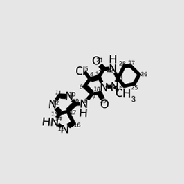 CN1n2c(c(Cl)cc(Nc3ncnc4[nH]ncc34)c2=O)C(=O)NC12CCCCC2